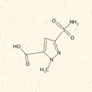 Cn1nc(S(N)(=O)=O)cc1C(=O)O